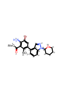 COC(=O)c1c(N)c(Br)cc(-c2cccc3c2cnn3C2CCCCO2)c1[N+](=O)[O-]